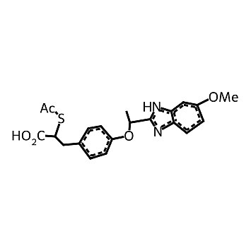 COc1ccc2nc(C(C)Oc3ccc(CC(SC(C)=O)C(=O)O)cc3)[nH]c2c1